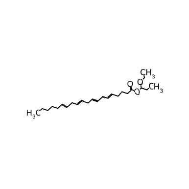 CCCCCC=CCC=CCC=CCC=CCCCC(=O)OC(CC)OCC